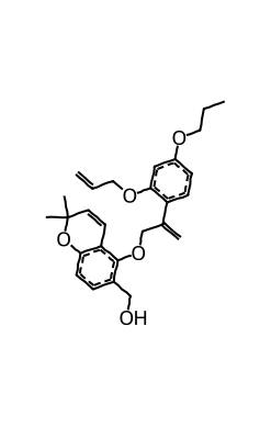 C=CCOc1cc(OCCC)ccc1C(=C)COc1c(CO)ccc2c1C=CC(C)(C)O2